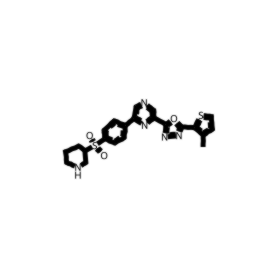 Cc1ccsc1-c1nnc(-c2cncc(-c3ccc(S(=O)(=O)C4CCCNC4)cc3)n2)o1